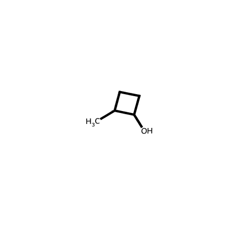 C[C]1CCC1O